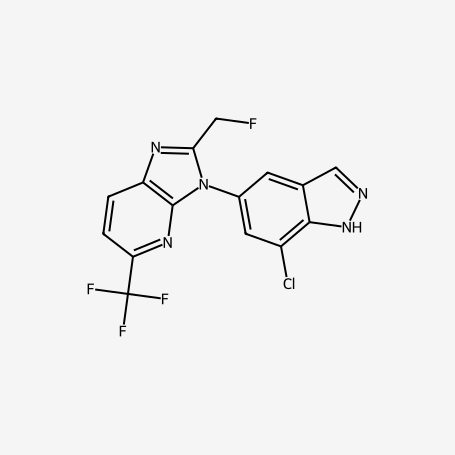 FCc1nc2ccc(C(F)(F)F)nc2n1-c1cc(Cl)c2[nH]ncc2c1